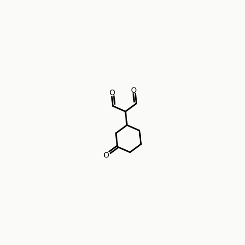 O=CC(C=O)C1CCCC(=O)C1